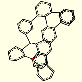 c1ccc(-c2ccccc2-c2c(-c3ccccc3)cccc2-c2cccc(N(c3ccccc3-c3ccccc3)c3cccc4c3oc3ccccc34)c2)cc1